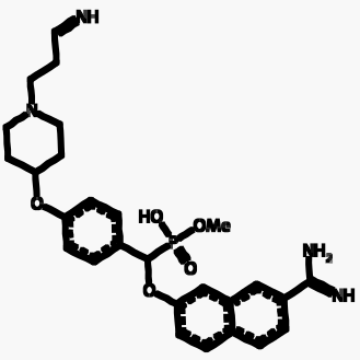 COP(=O)(O)C(Oc1ccc2ccc(C(=N)N)cc2c1)c1ccc(OC2CCN(CCC=N)CC2)cc1